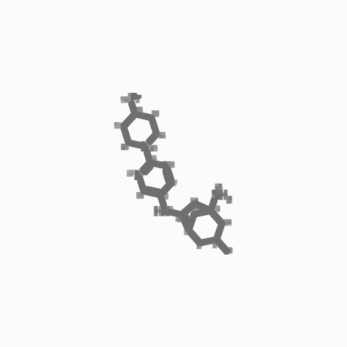 CC1CC2=C(Nc3cnc(N4CCC(C(C)C)CC4)nc3)CC(N)(C2)C1